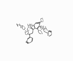 O=C(Cc1c(C(=O)O)[nH]c2cc(Cl)c(NCc3ccccc3)c(Cl)c12)c1ccccc1